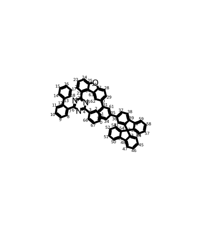 c1ccc(-c2nc(-c3ccccc3-c3ccccc3)nc(-c3cccc4oc5ccc(-c6cccc(-c7ccc8c(c7)C7(c9ccccc9-c9ccccc97)c7ccccc7-8)c6)cc5c34)n2)cc1